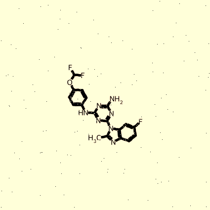 Cc1nc2ccc(F)cc2n1-c1nc(N)nc(Nc2ccc(OC(F)F)cc2)n1